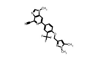 Cc1cc(COc2ccc(-c3cc4c(ncn4C)c(C#N)n3)cc2C(F)(F)F)nn1C